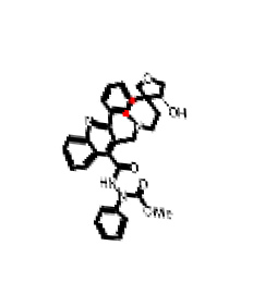 COC(=O)N(NC(=O)c1c(CN2CCC3(CC2)COC[C@@H]3O)c(-c2ccccc2)nc2ccccc12)c1ccccc1